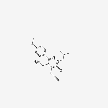 C#CCc1c(CN)c(-c2ccc(SC)cc2)nn(CC(C)C)c1=O